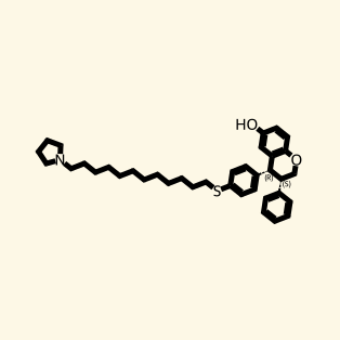 Oc1ccc2c(c1)[C@@H](c1ccc(SCCCCCCCCCCCCN3CCCC3)cc1)[C@@H](c1ccccc1)CO2